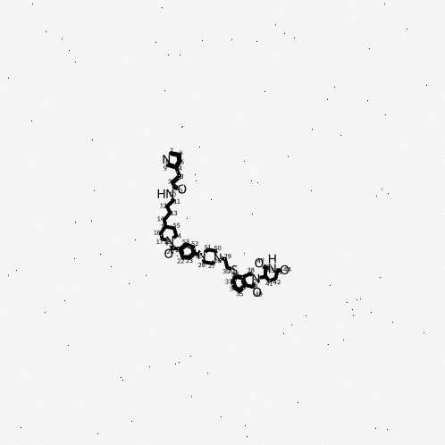 O=C(/C=C/c1cccnc1)NCCCCC1CCN(C(=O)c2ccc(N3CCN(CCSc4cccc5c4CN(C4CCC(=O)NC4=O)C5=O)CC3)cc2)CC1